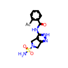 CC(=O)c1ccccc1C(=O)Nc1[nH]nc2c1CN(S(N)(=O)=O)C2